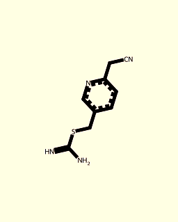 N#CCc1ccc(CSC(=N)N)cn1